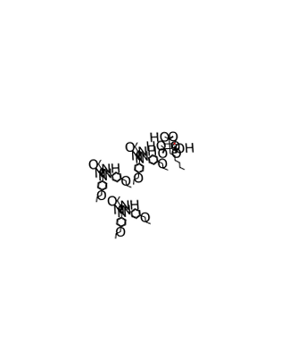 CCCCCCC(C(=O)O)(C(CC)(CC)C(=O)O)S(=O)(=O)O.CCOc1ccc(N2N=C(C(C)=O)NN2c2ccc(OCC)cc2)cc1.CCOc1ccc(N2N=C(C(C)=O)NN2c2ccc(OCC)cc2)cc1.CCOc1ccc(N2N=C(C(C)=O)NN2c2ccc(OCC)cc2)cc1